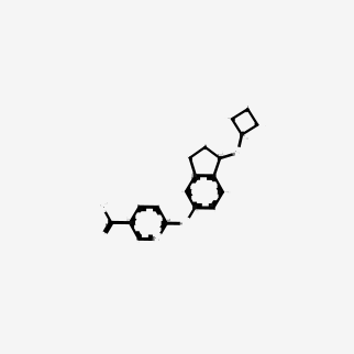 NC(=O)c1ccc(Oc2ccc3c(c2)CCC3NC2CCC2)nc1